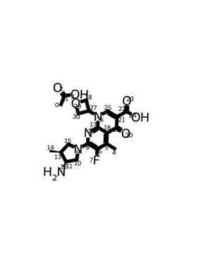 CC(=O)O.Cc1c(F)c(N2C[C@@H](N)[C@@H](C)C2)nc2c1c(=O)c(C(=O)O)cn2C1COC1